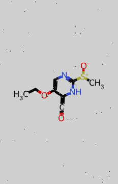 CCOC1=CN=C([S+](C)[O-])NC1=C=O